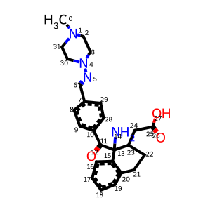 CN1CCN(N=Cc2ccc(C(=O)C3(N)c4ccccc4CCC3CC(=O)O)cc2)CC1